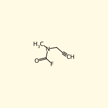 C#CCN(C)C(=O)F